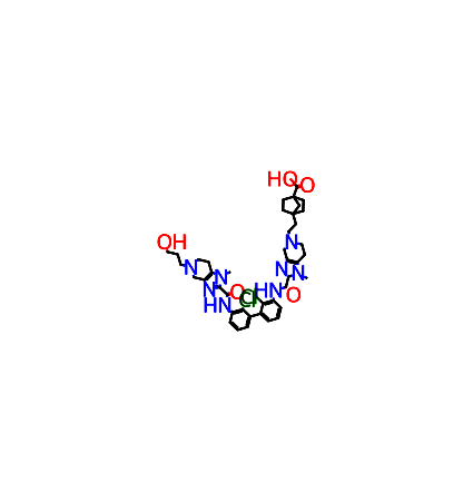 Cn1c(C(=O)Nc2cccc(-c3cccc(NC(=O)c4nc5c(n4C)CCN(CCC46CCC(C(=O)O)(CC4)C6)C5)c3Cl)c2Cl)nc2c1CCN(CCCO)C2